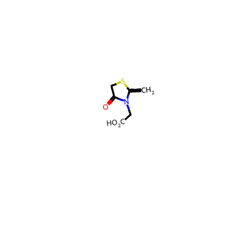 C=C1SCC(=O)N1CC(=O)O